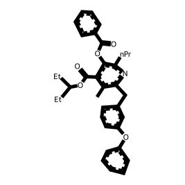 CCCc1nc(Cc2cccc(Oc3ccccc3)c2)c(C)c(C(=O)OC(CC)CC)c1OC(=O)c1ccccc1